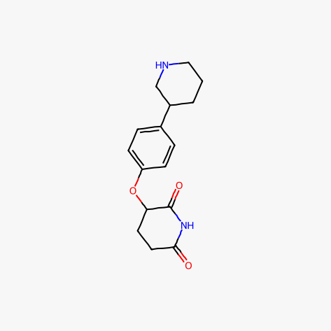 O=C1CCC(Oc2ccc(C3CCCNC3)cc2)C(=O)N1